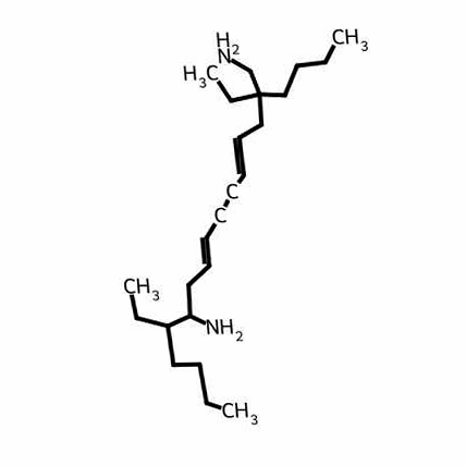 CCCCC(CC)C(N)CC=CCCC=CCC(CC)(CN)CCCC